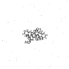 COC(=O)[C@H]([C@@H](O)c1ccccc1)N(C(=O)OCc1ccccc1)C(=O)C(N)CC(=O)O